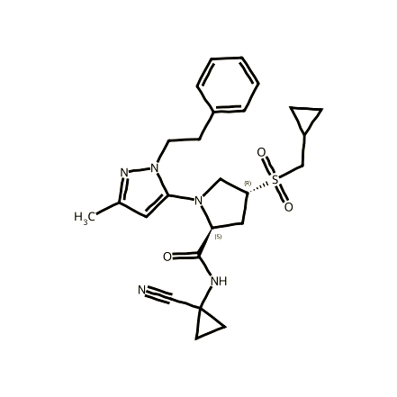 Cc1cc(N2C[C@H](S(=O)(=O)CC3CC3)C[C@H]2C(=O)NC2(C#N)CC2)n(CCc2ccccc2)n1